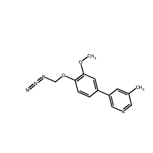 COc1cc(-c2cncc(C)c2)ccc1OCN=[N+]=[N-]